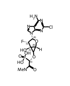 CNC(=O)[C@@H](OC1[C@H]2O[C@@H](n3cnc4c(N)nc(Cl)nc43)[C@@H](F)[C@@]12O)P(=O)(O)O